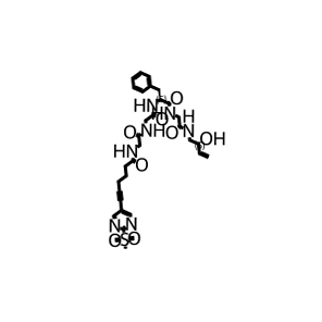 C=C[C@H](O)CNC(=O)CNC(=O)[C@H](Cc1ccccc1)NC(=O)CNC(=O)CNC(=O)CCCC#Cc1cnc(S(C)(=O)=O)nc1